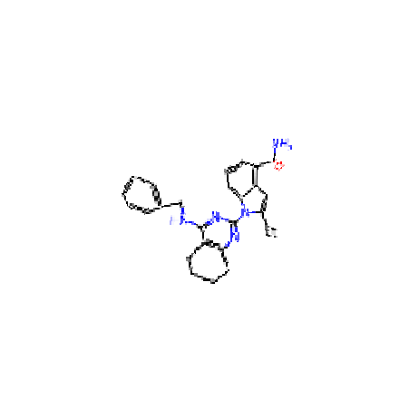 CCc1cc2c(C(N)=O)cccc2n1-c1nc2c(c(NCc3ccccc3)n1)CCCC2